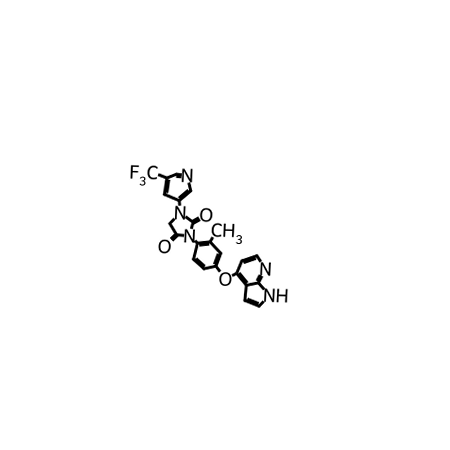 Cc1cc(Oc2ccnc3[nH]ccc23)ccc1N1C(=O)CN(c2cncc(C(F)(F)F)c2)C1=O